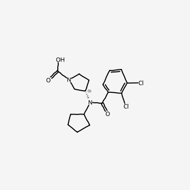 O=C(O)N1CC[C@H](N(C(=O)c2cccc(Cl)c2Cl)C2CCCC2)C1